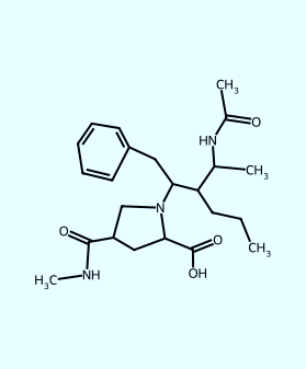 CCCC(C(C)NC(C)=O)C(Cc1ccccc1)N1CC(C(=O)NC)CC1C(=O)O